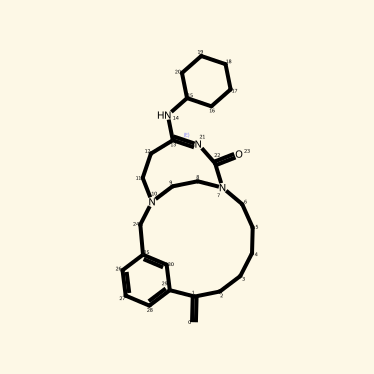 C=C1CCCCCN2CCN(CC/C(NC3CCCCC3)=N\C2=O)Cc2cccc1c2